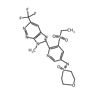 CCS(=O)(=O)c1cc(N=S2(=O)CCOCC2)cnc1-c1nc2cc(C(F)(F)F)nnc2n1C